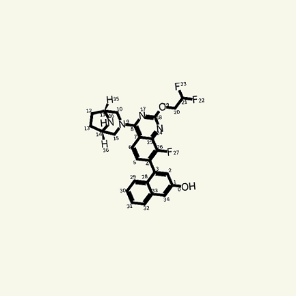 Oc1cc(-c2ccc3c(N4C[C@H]5CC[C@@H](C4)N5)nc(OCC(F)F)nc3c2F)c2ccccc2c1